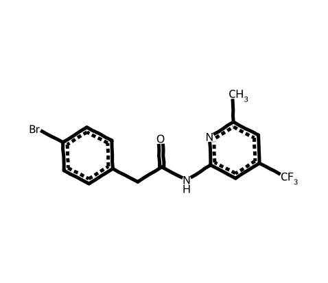 Cc1cc(C(F)(F)F)cc(NC(=O)Cc2ccc(Br)cc2)n1